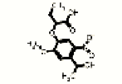 CCC(Oc1cc([N+](=O)[O-])c(C(C)O)cc1OC)C(=O)O